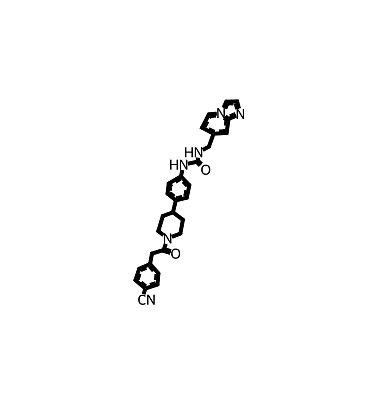 N#Cc1ccc(CC(=O)N2CCC(c3ccc(NC(=O)NCc4ccn5ccnc5c4)cc3)CC2)cc1